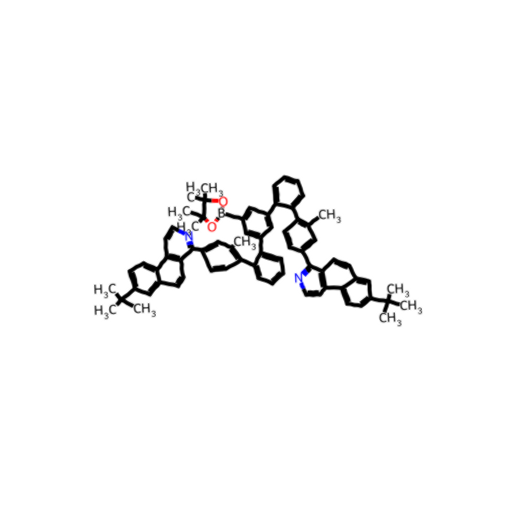 Cc1cc(-c2nccc3c2ccc2cc(C(C)(C)C)ccc23)ccc1-c1ccccc1-c1cc(B2OC(C)(C)C(C)(C)O2)cc(-c2ccccc2-c2ccc(-c3nccc4c3ccc3cc(C(C)(C)C)ccc34)cc2C)c1